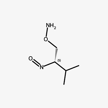 CC(C)[C@@H](CON)N=O